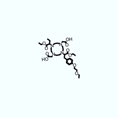 CCOCCOc1ccc(CC(C(=O)OCC)N2CCN(CC(=O)O)CCN(C(CC)C(=O)OCC)CCN(CC(=O)O)CC2)cc1